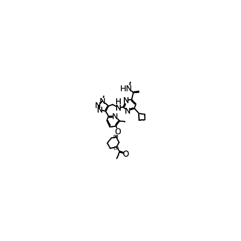 C=C(NC)c1cc(C2CCC2)nc(NCc2c(-c3ccc(O[C@H]4CCC[C@H](C(C)=O)C4)c(C)n3)nnn2C)n1